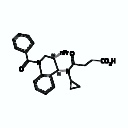 CCC[C@H]1CN(C(=O)c2ccccc2)c2ccccc2[C@H]1N(C(=O)CCC(=O)O)C1CC1